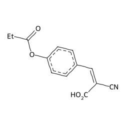 CCC(=O)Oc1ccc(C=C(C#N)C(=O)O)cc1